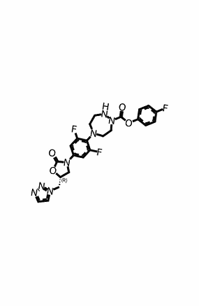 O=C(Oc1ccc(F)cc1)N1CCN(c2c(F)cc(N3C[C@H](Cn4ccnn4)OC3=O)cc2F)CCN1